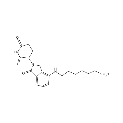 O=C(O)CCCCCCNc1cccc2c1CN(C1CCC(=O)NC1=O)C2=O